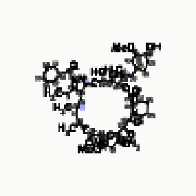 C=CC[C@@H]1/C=C(\C)C[C@H](C)C[C@H](OC)[C@H]2O[C@@](O)(C(=O)C(=O)N3CCCC[C@H]3C(=O)O[C@H](/C(C)=C/C3CC[C@@H](O)[C@H](OC)C3)[C@H](C)[C@@H](O)C/C1=N/NC(=O)c1ccccc1)[C@H](C)C[C@@H]2OC